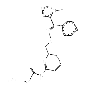 CCCCCOC(=O)NC1=NC(CO/N=C(\c2ccccc2)c2nnnn2C)CC=C1